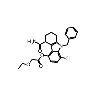 CCOCC(=O)Oc1ccc(Cl)c2c1c1c(n2Cc2ccccc2)CCCC1C(N)=O